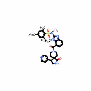 COc1cc(C)c(S(=O)(=O)N(C)c2nc3cccc(C(=O)N4CCC5(CC4)C(=O)NCC5c4ccncc4)c3n2C)c(C)c1